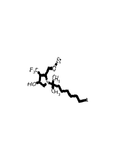 CCOCC1C(C(F)(F)F)C(O)CN1C(C)(C)CCCCCCI